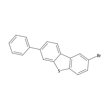 Brc1ccc2sc3cc(-c4ccccc4)ccc3c2c1